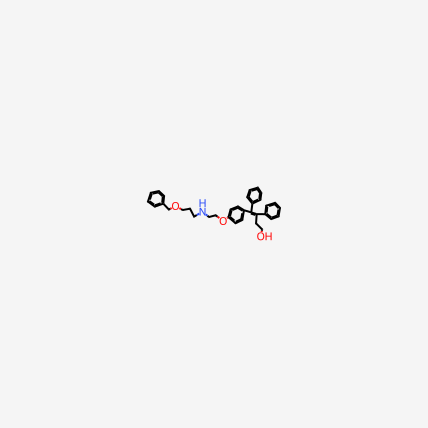 OCCC(=C(c1ccccc1)c1ccc(OCCNCCCOCc2ccccc2)cc1)c1ccccc1